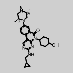 C[C@@H]1CN(c2ccc3c(c2)c(=O)n(C2CCC(O)CC2)c2nc(NCC4CC4)ncc32)[C@@H](C)CN1C